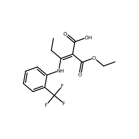 CCOC(=O)C(C(=O)O)=C(CC)Nc1ccccc1C(F)(F)F